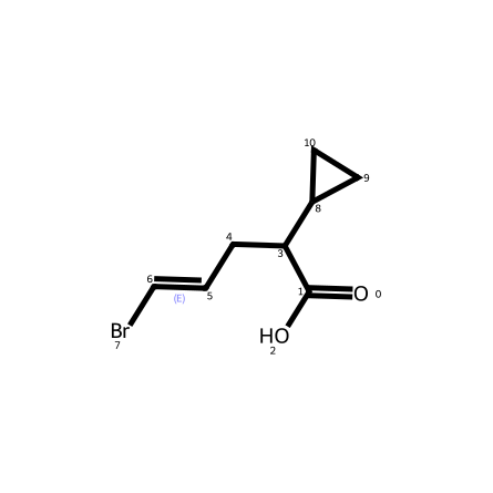 O=C(O)C(C/C=C/Br)C1CC1